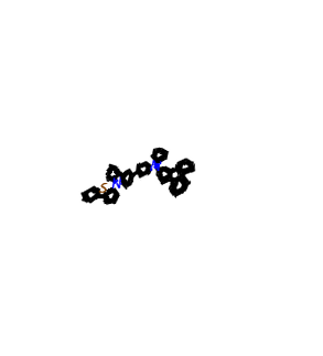 c1ccc(N(c2ccc(-c3ccc4c(c3)c3ccccc3n4-c3cccc4c3sc3ccccc34)cc2)c2ccc3c4ccccc4c4ccccc4c3c2)cc1